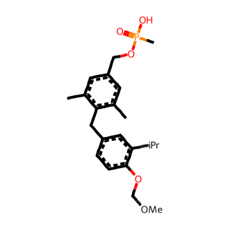 COCOc1ccc(Cc2c(C)cc(COP(C)(=O)O)cc2C)cc1C(C)C